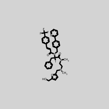 CN(CCN(C)C(=O)C(I)(Cc1ccccc1)N(Cc1ccc(-c2ccccn2)cc1)C(=O)C=Cc1ccc(C(F)(F)F)cc1)Cc1ccc(CO)o1